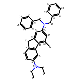 CCN(CC)c1ccc2c(c1)-c1c(C)cc(N(Cc3ccccc3)Cc3ccccc3)cc1C2